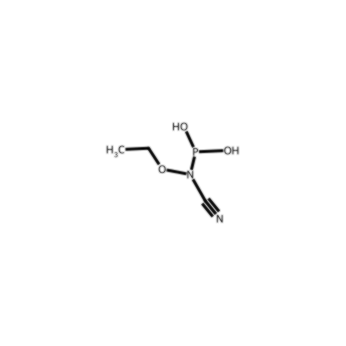 CCON(C#N)P(O)O